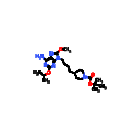 COc1nc2c(N)nc(OC(C)C)nc2n1CCCCC1CCN(C(=O)OC(C)(C)C)CC1